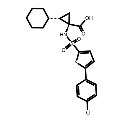 O=C(O)[C@@]1(NS(=O)(=O)c2ccc(-c3ccc(Cl)cc3)s2)C[C@H]1C1CCCCC1